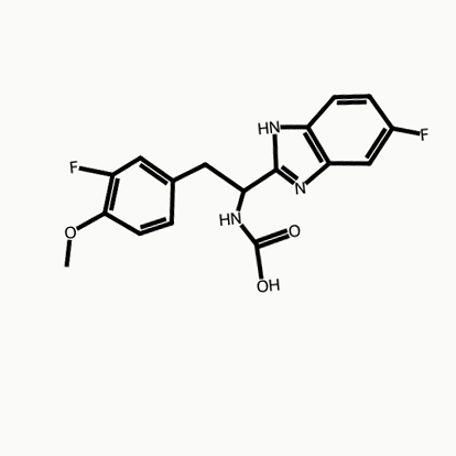 COc1ccc(CC(NC(=O)O)c2nc3cc(F)ccc3[nH]2)cc1F